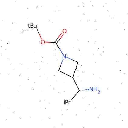 CC(C)C(N)C1CN(C(=O)OC(C)(C)C)C1